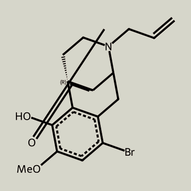 C=CCN1CC[C@@]23CC(=O)CCC2C1Cc1c(Br)cc(OC)c(O)c13